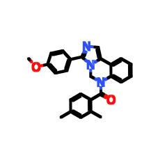 COc1ccc(-c2ncc3n2CN(C(=O)c2ccc(C)cc2C)c2ccccc2-3)cc1